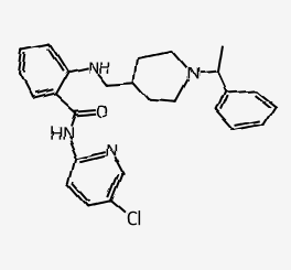 CC(c1ccccc1)N1CCC(CNc2ccccc2C(=O)Nc2ccc(Cl)cn2)CC1